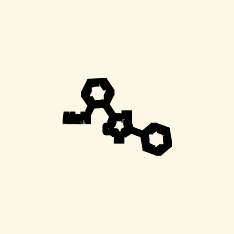 CNc1ccccc1-c1nc(-c2ccccc2)no1